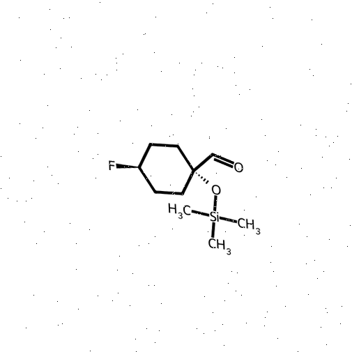 C[Si](C)(C)O[C@]1(C=O)CC[C@@H](F)CC1